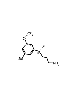 CC(C)(C)c1cc(OC(F)(F)F)cc([C@H](F)CCCN)c1